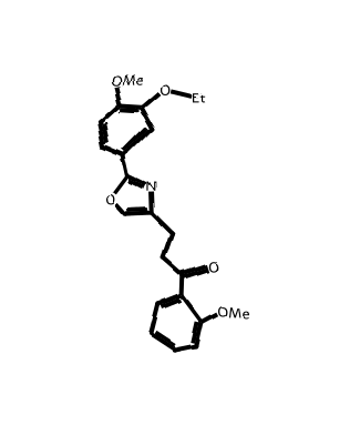 CCOc1cc(-c2nc(CCC(=O)c3ccccc3OC)co2)ccc1OC